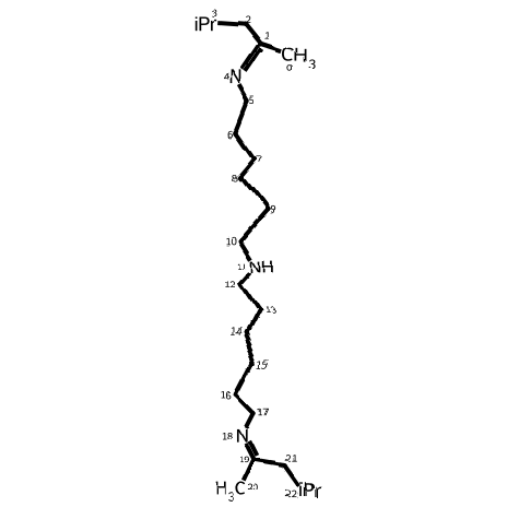 CC(CC(C)C)=NCCCCCCNCCCCCCN=C(C)CC(C)C